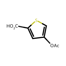 CC(=O)Oc1csc(C(=O)O)c1